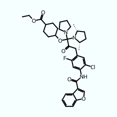 CCOC(=O)C1CCC(OC(C(=O)Cc2cc(Cl)c(NC(=O)c3coc4ccccc34)cc2F)(N2CCCC2)N2[C@H](C)CC[C@@H]2C)CC1